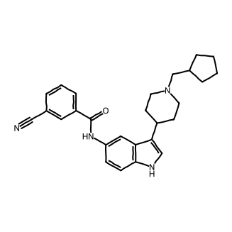 N#Cc1cccc(C(=O)Nc2ccc3[nH]cc(C4CCN(CC5CCCC5)CC4)c3c2)c1